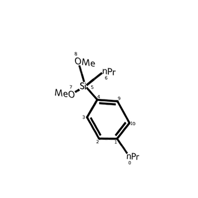 CCCc1ccc([Si](CCC)(OC)OC)cc1